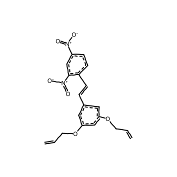 C=CCOc1cc(/C=C/c2ccc([N+](=O)[O-])cc2[N+](=O)[O-])cc(OCC=C)c1